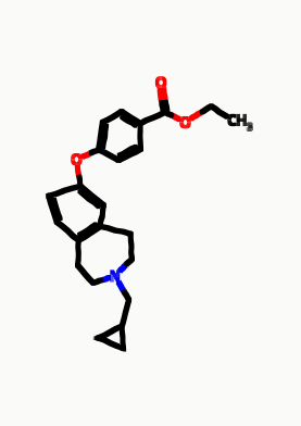 CCOC(=O)c1ccc(Oc2ccc3c(c2)CCN(CC2CC2)CC3)cc1